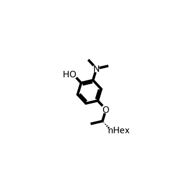 CCCCCC[C@H](C)Oc1ccc(O)c(N(C)C)c1